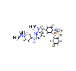 CN(C)C1CCC(Nc2ncc3c(-c4ccc(NS(=O)(=O)Cc5ccc(F)cc5)c(F)c4)cn(C)c3n2)CC1